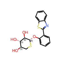 O[C@@H]1[C@@H](O)[C@H](Oc2ccccc2-c2nc3ccccc3s2)SC[C@H]1O